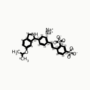 CC(C)Oc1ccc2c(c1)C(c1ccc(C=Cc3ccc(S(=O)(=O)[O-])cc3S(=O)(=O)[O-])cc1)NC2.[Na+].[Na+]